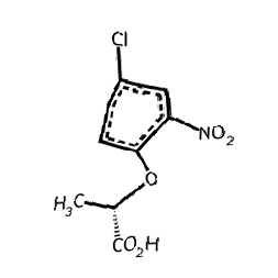 C[C@H](Oc1ccc(Cl)cc1[N+](=O)[O-])C(=O)O